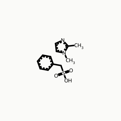 Cc1nccn1C.O=S(=O)(O)Cc1ccccc1